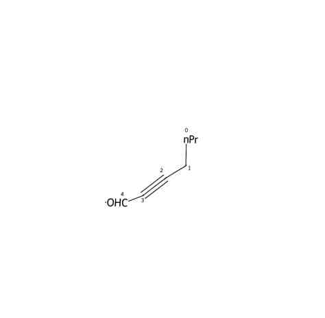 CCCCC#C[C]=O